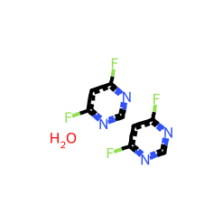 Fc1cc(F)ncn1.Fc1cc(F)ncn1.O